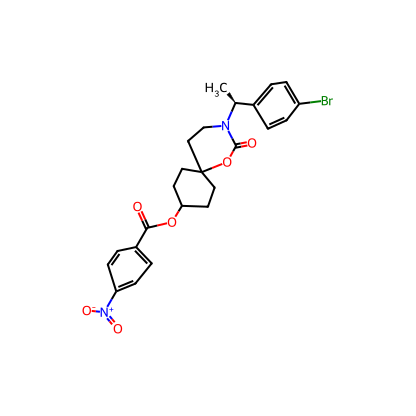 C[C@@H](c1ccc(Br)cc1)N1CCC2(CCC(OC(=O)c3ccc([N+](=O)[O-])cc3)CC2)OC1=O